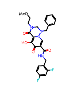 COCCN1CN(Cc2ccccc2)n2cc(C(=O)NCc3ccc(F)cc3F)c(=O)c(O)c2C1=O